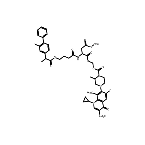 COc1c(N2CCN(C(=O)OCOC(=O)C(CC(=O)OC(C)(C)C)NC(=O)CCCOC(=O)C(C)c3ccc(-c4ccccc4)c(F)c3)C(C)C2)c(F)cc2c(=O)c(C(=O)O)cn(C3CC3)c12